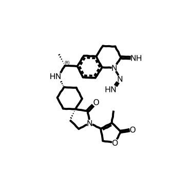 CC1=C(N2CC[C@]3(CC[C@@H](N[C@H](C)c4ccc5c(c4)CCC(=N)N5N=N)CC3)C2=O)COC1=O